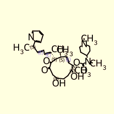 C/C(=C\C=C\[C@H](C)c1ccccn1)[C@H]1C(=O)C(=O)C[C@@H](O)CC[C@](C)(O)[C@@H](OC(=O)N(C)C2CCN(C)CC2)/C=C/[C@@H]1C